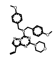 C=Cc1cnn2c(N(Cc3ccc(OC)cc3)Cc3ccc(OC)cc3)nc(N3CCOCC3)nc12